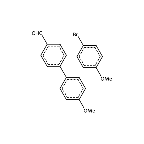 COc1ccc(-c2ccc(C=O)cc2)cc1.COc1ccc(Br)cc1